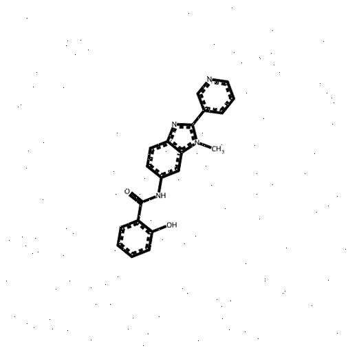 Cn1c(-c2cccnc2)nc2ccc(NC(=O)c3ccccc3O)cc21